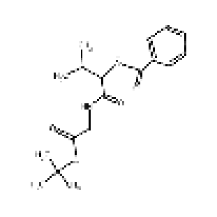 CC(C)C(NC(=O)c1ccccc1)C(=O)NCC(=O)OC(C)(C)C